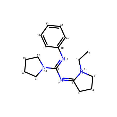 CCN1CCC/C1=N/C(=N/c1ccccc1)N1CCCC1